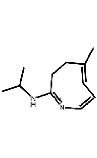 C\C1=C/C=C\N=C(\NC(C)C)CC1